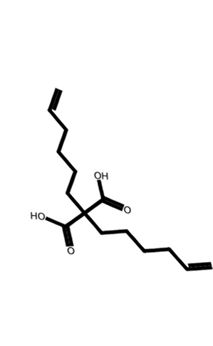 C=CCCCCC(CCCCC=C)(C(=O)O)C(=O)O